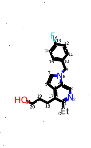 [CH2]Cc1ncc2c(ccn2Cc2ccc(F)cc2)c1CCCO